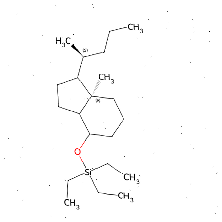 CCC[C@H](C)C1CCC2C(O[Si](CC)(CC)CC)CCC[C@@]21C